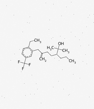 C=C(CCC(CCC)C(C)(C)O)Cc1cc(C(F)(F)F)ccc1CC